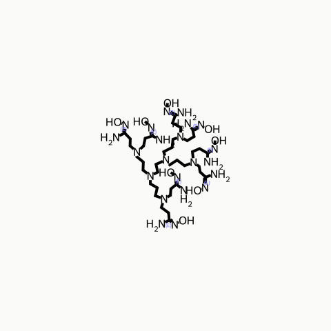 N/C(CCN(CCCN(CCCN(CC/C(N)=N\O)CC/C(N)=N\O)CCN(CCCN(CC/C(N)=N/O)CC/C(N)=N\O)CCCN(CC/C(N)=N\O)CC/C(N)=N\O)CC/C(N)=N\O)=N\O